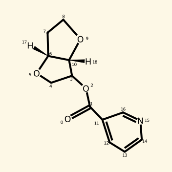 O=C(OC1CO[C@@H]2CCO[C@H]12)c1cccnc1